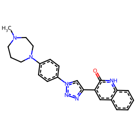 CN1CCCN(c2ccc(-n3cc(-c4cc5ccccc5[nH]c4=O)nn3)cc2)CC1